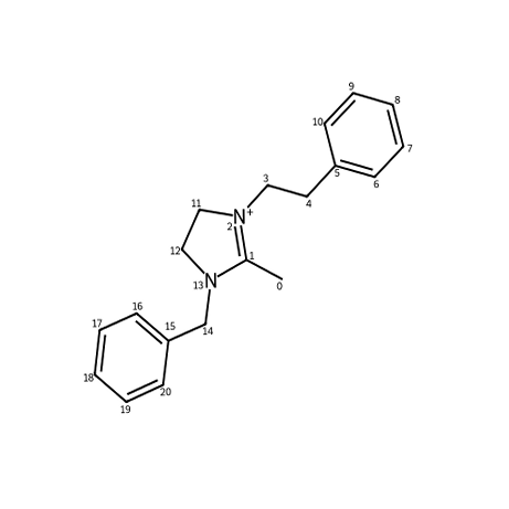 CC1=[N+](CCc2ccccc2)CCN1Cc1ccccc1